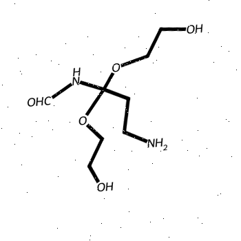 NCCC(NC=O)(OCCO)OCCO